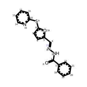 O=C(N/N=C/c1ccc(Sc2ccccn2)o1)c1ccccc1